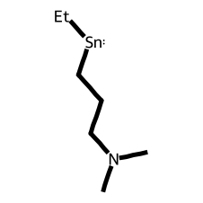 C[CH2][Sn][CH2]CCN(C)C